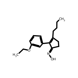 CCCCC1=C(c2cccc(OCC)c2)C(=NO)CC1